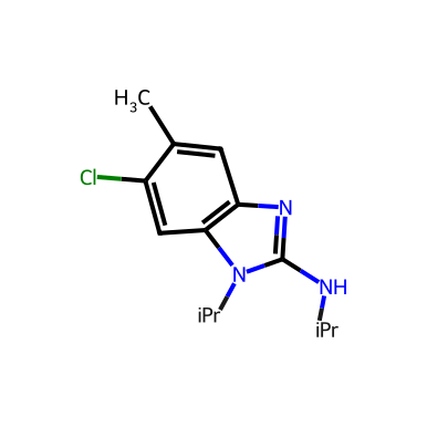 Cc1cc2nc(NC(C)C)n(C(C)C)c2cc1Cl